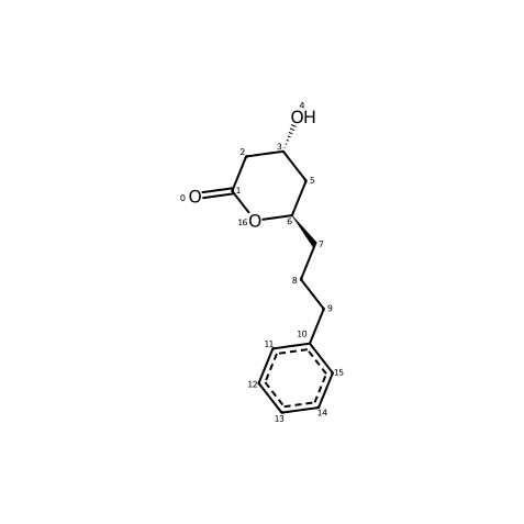 O=C1C[C@H](O)C[C@@H](CCCc2ccccc2)O1